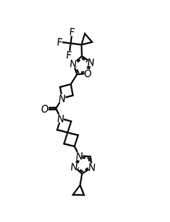 O=C(N1CC(c2nc(C3(C(F)(F)F)CC3)no2)C1)N1CC2(CC(n3cnc(C4CC4)n3)C2)C1